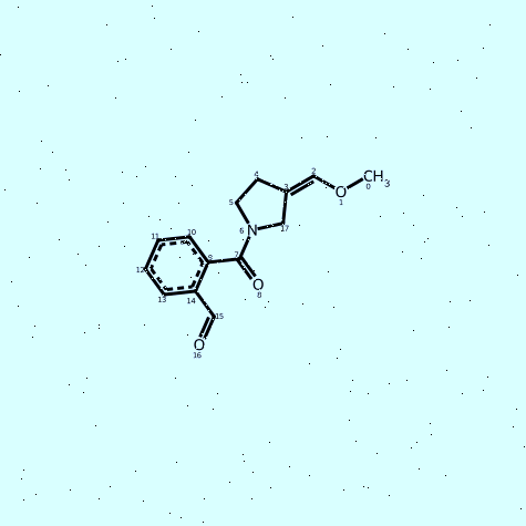 COC=C1CCN(C(=O)c2ccccc2C=O)C1